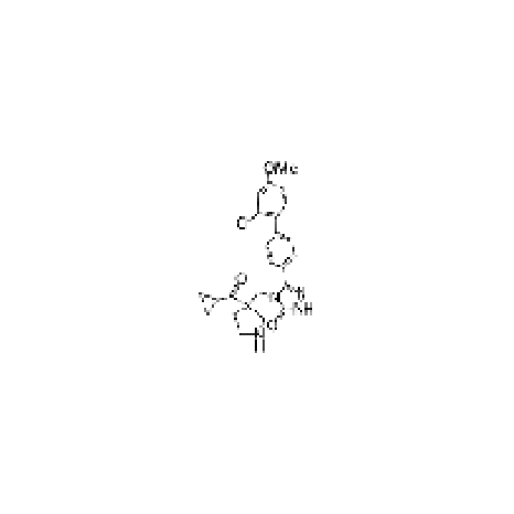 COc1ccc(-c2ccc(-c3n[nH]c(=O)n3CC3(C(=O)C4CC4)CCNC3)cc2)c(Cl)c1